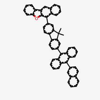 CC1(C)c2cc(-c3c4ccccc4c(-c4ccc5ccccc5c4)c4ccccc34)ccc2-c2ccc(-c3c4ccccc4cc4c3oc3ccccc34)cc21